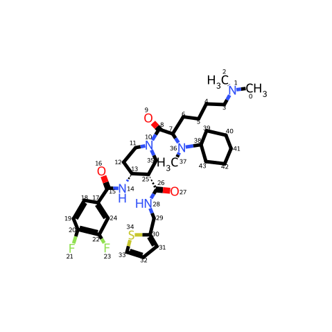 CN(C)CCCCC(C(=O)N1CC[C@@H](NC(=O)c2ccc(F)c(F)c2)[C@@H](C(=O)NCc2cccs2)C1)N(C)C1CCCCC1